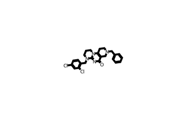 O=c1nc2n(c3c1CN(Cc1ccccc1)CC3)CCCN2Cc1ccc(Cl)cc1Cl